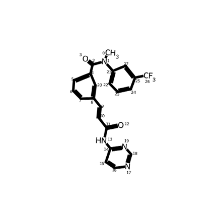 CN(C(=O)c1cccc(C=CC(=O)Nc2ccncn2)c1)c1cccc(C(F)(F)F)c1